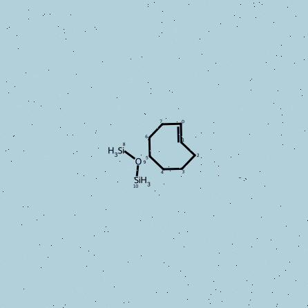 C1=C/CCCCCC/1.[SiH3]O[SiH3]